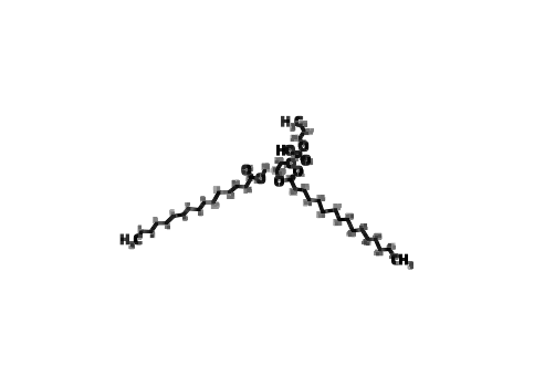 CCCCCCCCCCCCCCCC(=O)OC[C@H](COP(=O)(O)OCCC)OC(=O)CCCCCCCCCCCCCCC